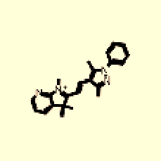 Cc1nn(-c2ccccc2)c(C)c1C=CC1=[N+](C)c2ncccc2C1(C)C